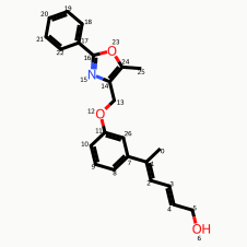 C/C(=C\C=C\CO)c1cccc(OCc2nc(-c3ccccc3)oc2C)c1